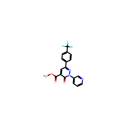 COC(=O)c1cc(-c2ccc(C(F)(F)F)cc2)nn(-c2cccnc2)c1=O